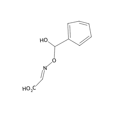 O=C(O)C=NOC(O)c1ccccc1